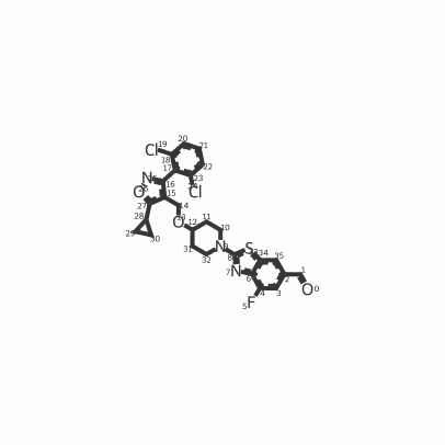 O=Cc1cc(F)c2nc(N3CCC(OCc4c(-c5c(Cl)cccc5Cl)noc4C4CC4)CC3)sc2c1